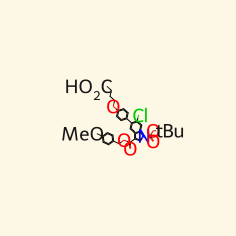 COc1ccc(COC(=O)c2cn(C(=O)OC(C)(C)C)c3cc(Cl)c(-c4ccc(OCCCC(=O)O)cc4)cc23)cc1